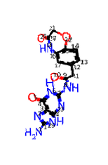 Nc1nc2c(=O)[nH]c(NC(=O)Cc3ccc4c(c3)NC(=O)CO4)nc2[nH]1